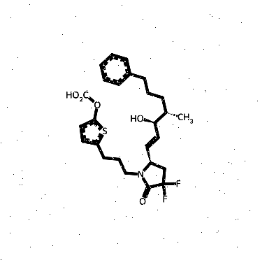 C[C@@H](CCCc1ccccc1)[C@H](O)/C=C/[C@H]1CC(F)(F)C(=O)N1CCCc1ccc(OC(=O)O)s1